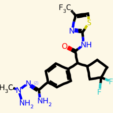 CN(N)/N=C(\N)c1ccc(C(C(=O)Nc2nc(C(F)(F)F)cs2)C2CCC(F)(F)C2)cc1